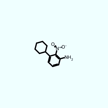 Nc1cccc(C2CCCCC2)c1[N+](=O)[O-]